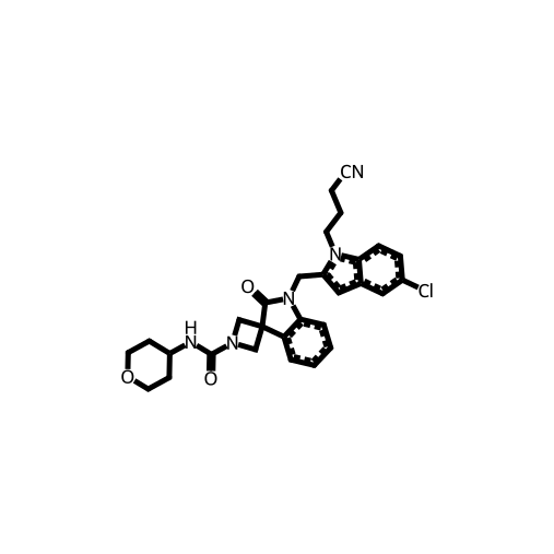 N#CCCCn1c(CN2C(=O)C3(CN(C(=O)NC4CCOCC4)C3)c3ccccc32)cc2cc(Cl)ccc21